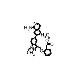 CCOC(=O)Cc1ccccc1OCc1nn(CC)c2ccc(-c3ccc4ccnc(N)c4c3)cc12